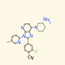 Cc1ccc(-n2c(-c3ccc(C#N)c(F)c3)nc3c(N4CCC[C@@H](N)C4)ccnc32)nc1